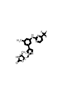 Cc1cc(Nc2nccc(C(F)(F)F)n2)cc(-c2cnn(C[C@@H]3OC(=O)N[C@H]3C)c2)c1